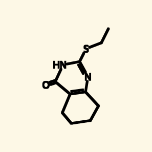 CCSc1nc2c(c(=O)[nH]1)CCCC2